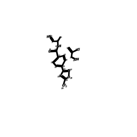 C=C(Cl)CO.CC(C=N)NC(=O)c1ccc(-c2noc(C(F)(F)F)n2)cc1